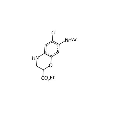 CCOC(=O)C1CNc2cc(Cl)c(NC(C)=O)cc2O1